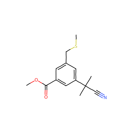 COC(=O)c1cc(CSC)cc(C(C)(C)C#N)c1